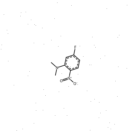 CN(C)c1cc(F)ccc1[N+](=O)[O-]